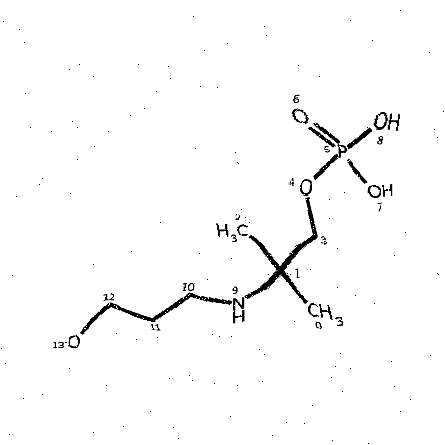 CC(C)(COP(=O)(O)O)NCCC[O]